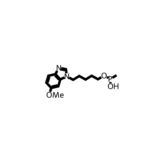 COc1ccc2ncn(CCCCCOP(C)O)c2c1